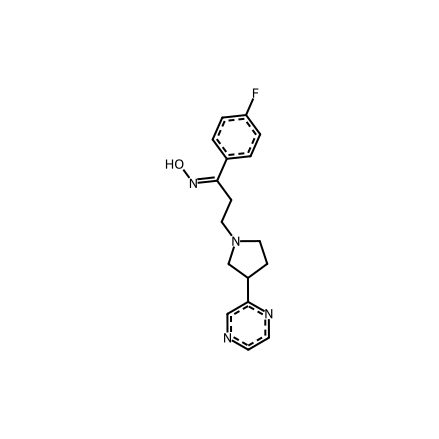 ON=C(CCN1CCC(c2cnccn2)C1)c1ccc(F)cc1